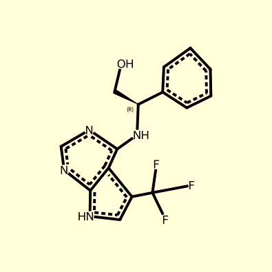 OC[C@H](Nc1ncnc2[nH]cc(C(F)(F)F)c12)c1ccccc1